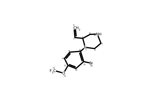 C=CC1CNCCN1c1ccc(OC(F)(F)F)cc1Br